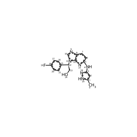 Cc1cc(Nc2ccc3ncn([C@@H](CO)c4ccc(F)cc4)c3n2)n[nH]1